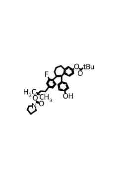 CC(C)(CCc1ccc(C2=C(c3ccc(O)cc3)c3ccc(OC(=O)C(C)(C)C)cc3CCC2)c(F)c1)OC(=O)N1CCCC1